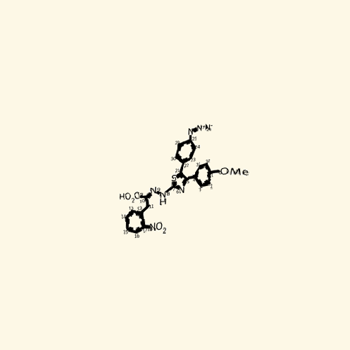 COc1ccc(-c2nc(NN=C(Cc3ccccc3[N+](=O)[O-])C(=O)O)sc2-c2ccc(N=[N+]=[N-])cc2)cc1